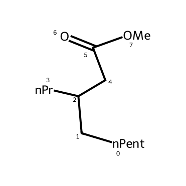 CCCCCCC(CCC)CC(=O)OC